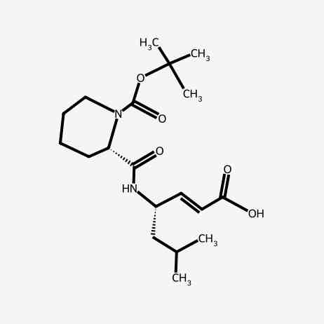 CC(C)C[C@@H](/C=C/C(=O)O)NC(=O)[C@@H]1CCCCN1C(=O)OC(C)(C)C